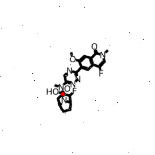 COc1cc2c(=O)n(C)cc(F)c2cc1-c1ncc(N(C)C2CC3CCC(C2F)N3C(=O)O)nn1